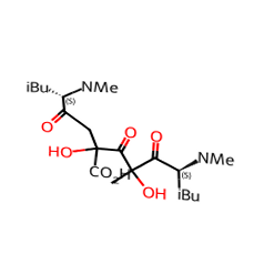 CCC(C)[C@H](NC)C(=O)CC(O)(C(=O)O)C(=O)C(C)(O)C(=O)[C@@H](NC)C(C)CC